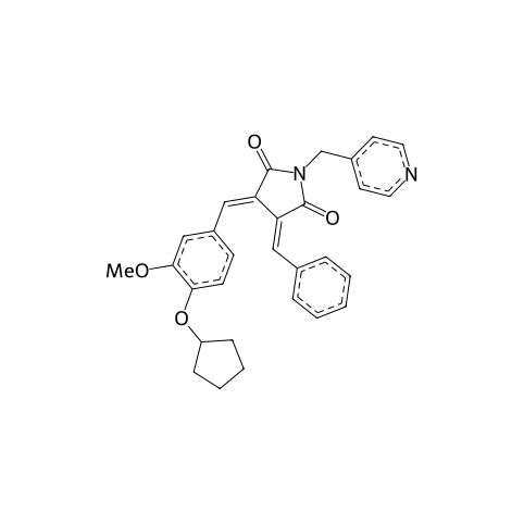 COc1cc(C=C2C(=O)N(Cc3ccncc3)C(=O)C2=Cc2ccccc2)ccc1OC1CCCC1